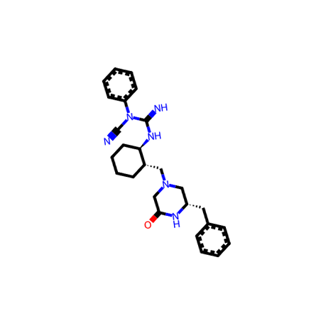 N#CN(C(=N)N[C@@H]1CCCC[C@H]1CN1CC(=O)N[C@@H](Cc2ccccc2)C1)c1ccccc1